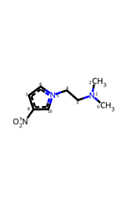 CN(C)CCn1ccc([N+](=O)[O-])c1